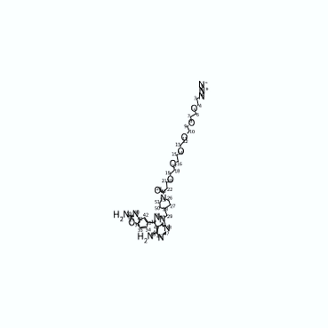 [N-]=[N+]=NCCOCCOCCOCCOCCOCCOCCC(=O)N1CCC(Cn2nc(-c3ccc4oc(N)nc4c3)c3c(N)ncnc32)CC1